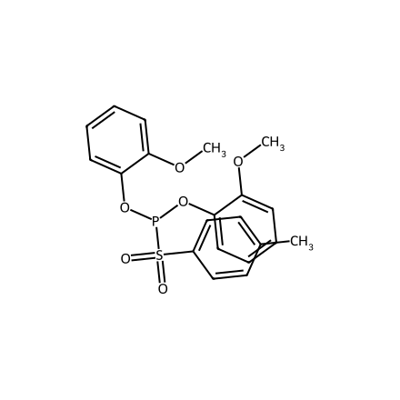 COc1ccccc1OP(Oc1ccccc1OC)S(=O)(=O)c1ccc(C)cc1